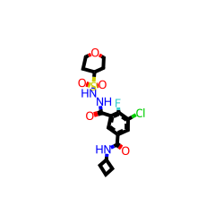 O=C(NC1CCC1)c1cc(Cl)c(F)c(C(=O)NNS(=O)(=O)C2CCOCC2)c1